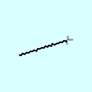 O=C(CCCCCCCCCCCCCCCCCCCCCCCCI)NO